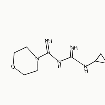 N=C(NC(=N)N1CCOCC1)NC1CC1